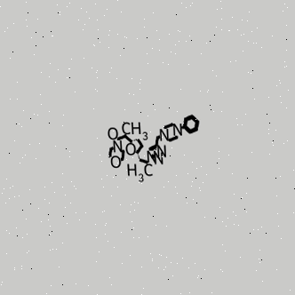 C[C@H](C(=O)N1CCOCC1)[C@@H]1CC[C@H](C[C@@H](C)n2cc(CN3CCN(c4ccccc4)CC3)nn2)O1